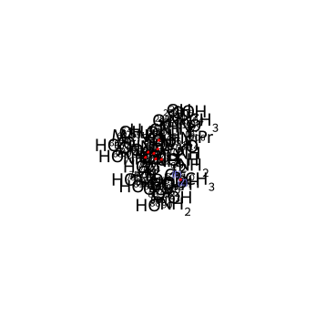 C/C=N\C=C(/C)C[C@H](N)C(=O)NCC(=O)N[C@H](C(=O)N[C@H](C(=O)N[C@@H](CO)C(=O)N[C@@H](C)C(=O)N1CCC[C@H]1C(=O)N[C@@H](CC(=O)O)C(=O)N[C@H](C(=O)NC)C(C)O[C@H]1OC(CO[C@@H]2OC(CO)[C@@H](O)C(O)C2N)[C@H](O)[C@H](O[C@@H]2OC(CO)[C@H](O)C(O[C@]3(C(=O)O)C[C@@H](O)[C@@H](N)C([C@H](O)[C@H](O)CO)O3)[C@@H]2O)C1N)C(C)O)C(C)C